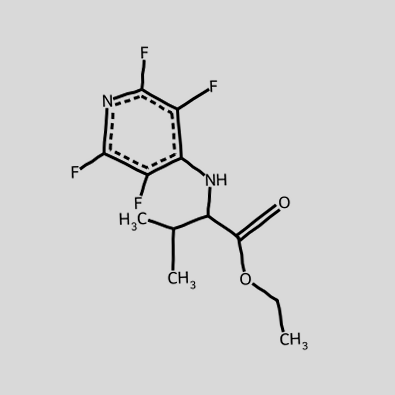 CCOC(=O)C(Nc1c(F)c(F)nc(F)c1F)C(C)C